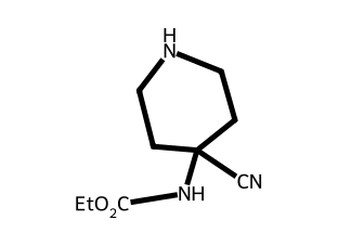 CCOC(=O)NC1(C#N)CCNCC1